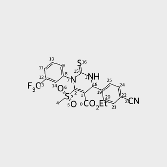 CCOC(=O)C1=C(S(C)(=O)=O)N(c2cccc(C(F)(F)F)c2)C(=S)NC1c1ccc(C#N)cc1